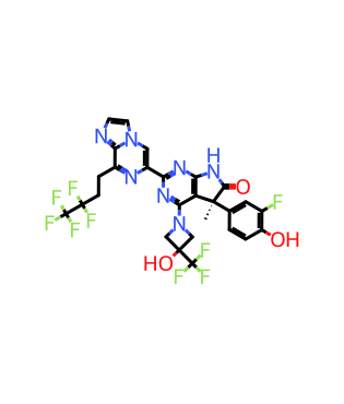 C[C@@]1(c2ccc(O)c(F)c2)C(=O)Nc2nc(-c3cn4ccnc4c(CCC(F)(F)C(F)(F)F)n3)nc(N3CC(O)(C(F)(F)F)C3)c21